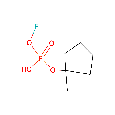 CC1(OP(=O)(O)OF)CCCC1